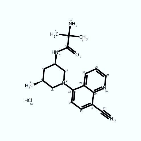 C[C@H]1C[C@@H](NC(=O)C(C)(C)N)CN(c2ccc(C#N)c3ncccc23)C1.Cl